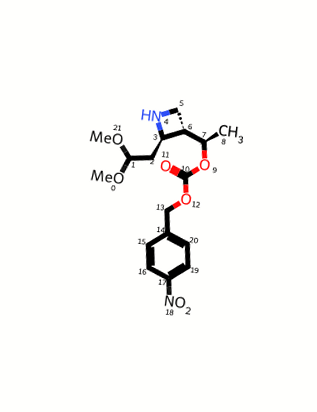 COC(C[C@H]1NC[C@@H]1[C@@H](C)OC(=O)OCc1ccc([N+](=O)[O-])cc1)OC